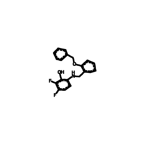 Oc1c(NCc2ccccc2OCc2ccccc2)ccc(F)c1F